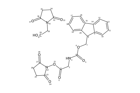 O=C(CNC(=O)OCC1c2ccccc2-c2ccccc21)ON1C(=O)CCC1=O.O=C(O)CN1C(=O)CCC1=O